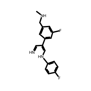 CNCc1cc(F)cc(/C(C=N)=C/Nc2ccc(F)cc2)c1